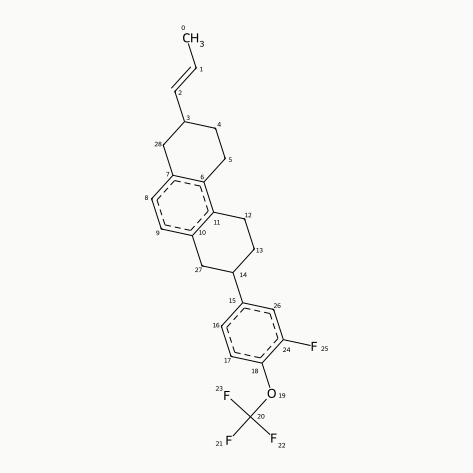 CC=CC1CCc2c(ccc3c2CCC(c2ccc(OC(F)(F)F)c(F)c2)C3)C1